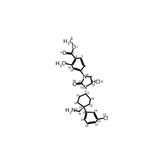 COC(=O)c1ccc(N2CCN([C@H]3CC[C@@](CN)(c4cccc(Cl)c4)CC3)C2=O)cc1C.Cl